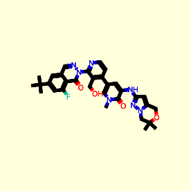 Cn1cc(-c2ccnc(-n3ncc4cc(C(C)(C)C)cc(F)c4c3=O)c2CO)cc(Nc2cc3n(n2)CC(C)(C)OC3)c1=O